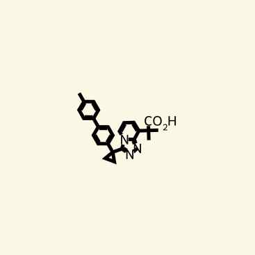 Cc1ccc(-c2ccc(C3(c4nnc5c(C(C)(C)C(=O)O)cccn45)CC3)cc2)cc1